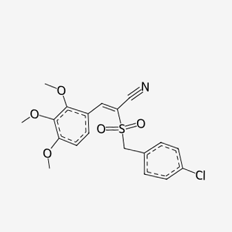 COc1ccc(/C=C(/C#N)S(=O)(=O)Cc2ccc(Cl)cc2)c(OC)c1OC